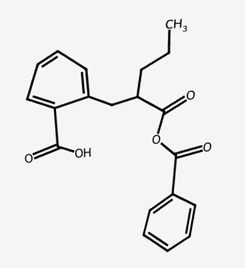 CCCC(Cc1ccccc1C(=O)O)C(=O)OC(=O)c1ccccc1